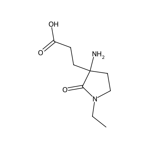 CCN1CCC(N)(CCC(=O)O)C1=O